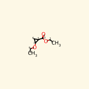 CCOC(=O)C1CC1OCC